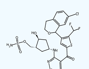 NS(=O)(=O)OC[C@H]1C[C@@H](Nc2ncncc2C(=O)c2cc(C3OCCc4ccc(Cl)cc43)c(C(F)F)s2)C[C@@H]1O